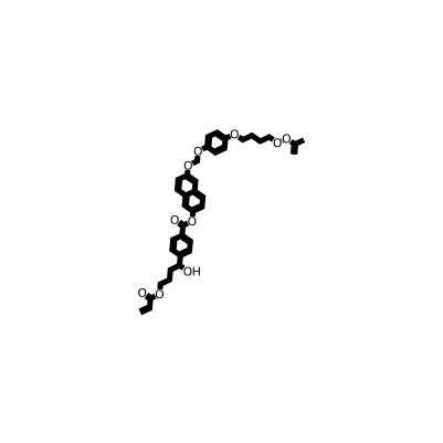 C=CC(=O)OCCCC(O)c1ccc(C(=O)Oc2ccc3cc(OCOc4ccc(OCCCCOOC(=C)C)cc4)ccc3c2)cc1